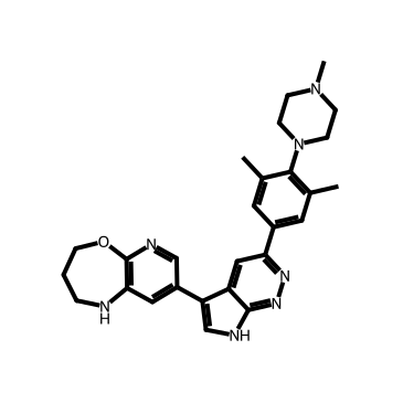 Cc1cc(-c2cc3c(-c4cnc5c(c4)NCCCO5)c[nH]c3nn2)cc(C)c1N1CCN(C)CC1